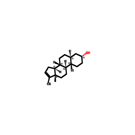 CC[C@]12CC[C@@H](O)C[C@@H]1CC[C@@H]1[C@@H]2CC[C@]2(C)C(C#N)=CC[C@@H]12